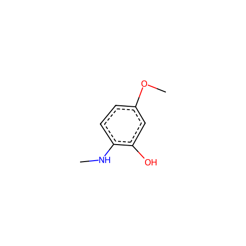 CNc1ccc(OC)cc1O